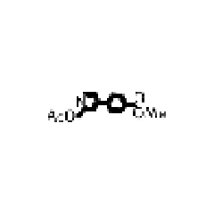 COC(=O)c1ccc(-c2ccnc(COC(C)=O)c2)cc1